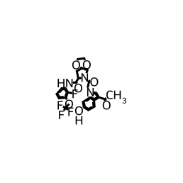 CC(=O)c1cn(CC(=O)N2CC3(CC2C(=O)Nc2cccc(OC(F)(F)F)c2F)OCCO3)c2cc(O)ccc12